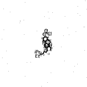 CC[C@H](CC[C@@H](C)[C@H]1CC[C@H]2[C@@H]3CC=C4C[C@@H](OC(=O)Cl)CC[C@]4(C)[C@H]3CC[C@]12C)C(C)C